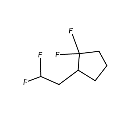 FC(F)CC1CCCC1(F)F